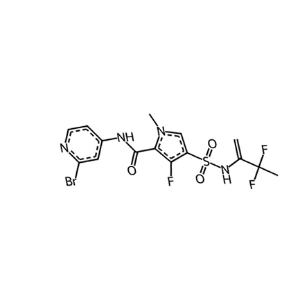 C=C(NS(=O)(=O)c1cn(C)c(C(=O)Nc2ccnc(Br)c2)c1F)C(C)(F)F